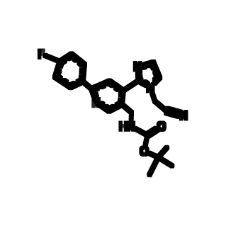 CC(C)(C)OC(=O)NCc1cnc(-c2ccc(F)cc2)cc1-c1nccn1CC#N